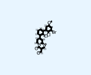 COc1cc(Br)c(Cl)c(-c2cccc(-c3ccn4c(=O)c(C=O)cnc4c3)c2Cl)c1